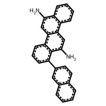 Nc1cc2c3cccc(-c4ccc5ccccc5c4)c3c(N)cc2c2ccccc12